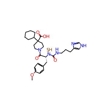 COc1ccc(C[C@H](C(=O)N2CCC(C(=O)O)(C3CCCCC3)CC2)N(S)C(=O)NCCCc2c[nH]cn2)cc1